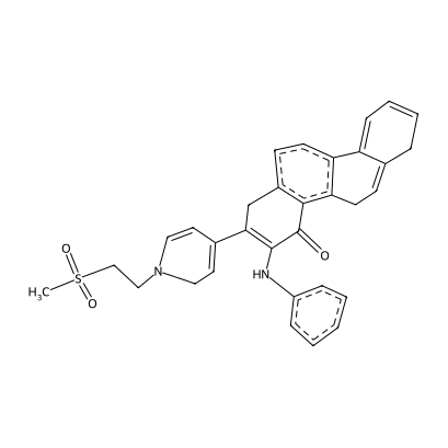 CS(=O)(=O)CCN1C=CC(C2=C(Nc3ccccc3)C(=O)c3c(ccc4c3CC=C3CC=CC=C34)C2)=CC1